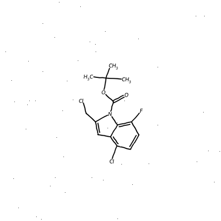 CC(C)(C)OC(=O)n1c(CCl)cc2c(Cl)ccc(F)c21